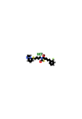 Cl.O=C1SC(=CCCc2ccccc2F)C(=O)N1CCCCSc1cccc2nccn12